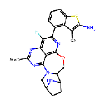 COc1nc2c3c(nc(-c4cccc5sc(N)c(C#N)c45)c(F)c3n1)OCC1C3CCC(CN21)N3